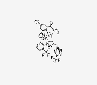 Cc1cc(Cl)cc(C(N)=O)c1NC(=O)c1cc(Cn2nnc(C(F)(F)F)n2)nn1-c1ncccc1C(F)(F)F